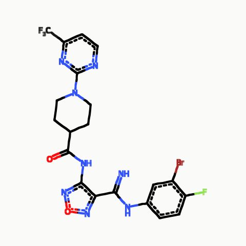 N=C(Nc1ccc(F)c(Br)c1)c1nonc1NC(=O)C1CCN(c2nccc(C(F)(F)F)n2)CC1